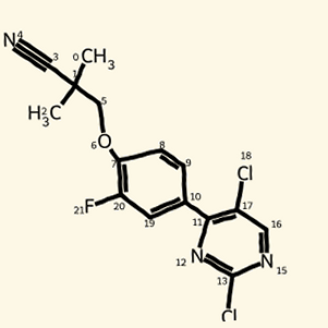 CC(C)(C#N)COc1ccc(-c2nc(Cl)ncc2Cl)cc1F